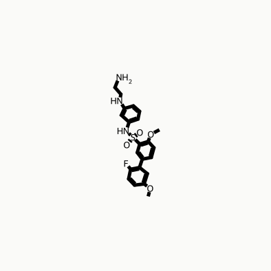 COc1ccc(F)c(-c2ccc(OC)c(S(=O)(=O)Nc3cccc(NCCN)c3)c2)c1